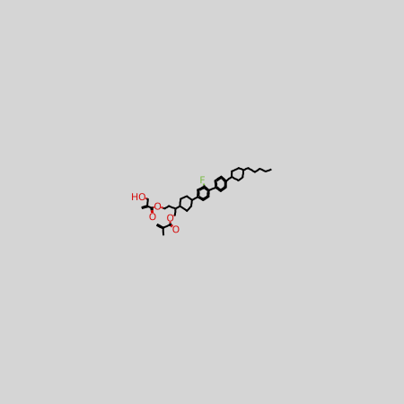 C=C(C)C(=O)OCC(CCOC(=O)C(=C)CO)C1CCC(c2ccc(-c3ccc(C4CCC(CCCCC)CC4)cc3)c(F)c2)CC1